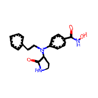 O=C(NO)c1ccc(N(CCc2ccccc2)C2CCNC2=O)cc1